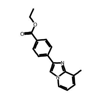 CCOC(=O)c1ccc(-c2cn3cccc(C)c3n2)cc1